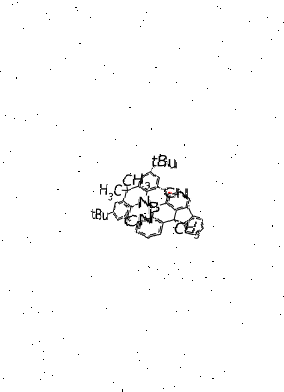 CC(C)(C)c1cc(C#N)c2c(c1)C(C)(C)c1cc(C(C)(C)C)cc(C#N)c1N2B1c2ccccc2C2(C)c3ccccc3-c3cccc1c32